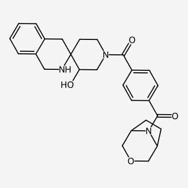 O=C(c1ccc(C(=O)N2C3CCC2COC3)cc1)N1CCC2(Cc3ccccc3CN2)C(O)C1